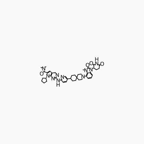 CN(C)C(=O)c1cc2cnc(Nc3ccc(C4CCC5(CC4)CCN(c4cccc6c4n(C)c(=O)n6[C@@H]4CCC(=O)NC4=O)CC5)cn3)nc2n1C1CCCC1